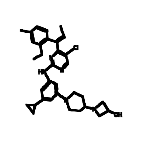 C/C=C(\c1ccc(C)cc1CC)c1nc(Nc2cc(C3CC3)cc(N3CCC(N4CC(O)C4)CC3)c2)ncc1Cl